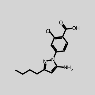 CCCCc1cc(N)n(-c2ccc(C(=O)O)c(Cl)c2)n1